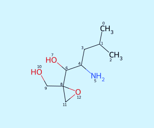 CC(C)CC(N)C(O)C1(CO)CO1